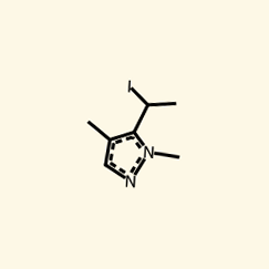 Cc1cnn(C)c1C(C)I